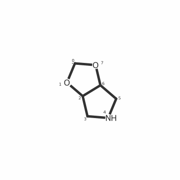 [CH]1OC2CNCC2O1